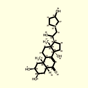 C[C@]12C[C@H](O)[C@H](O)C[C@H]1C(=O)C=C1C2CC[C@]2(C)[C@@H](C(O)CN3CCC(O)C3)CC[C@@]12O